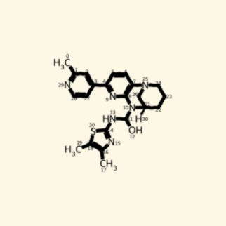 Cc1cc(-c2ccc3c(n2)N(C(O)Nc2nc(C)c(C)s2)[C@H]2CCCN3C2)ccn1